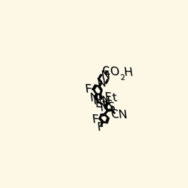 CCN(c1nc(-c2ccc(F)c(F)c2)c(C#N)s1)c1c2cc(N3CCN(C(=O)O)CC3)cc(F)c2nn1CC